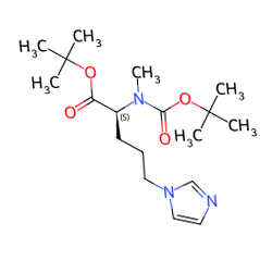 CN(C(=O)OC(C)(C)C)[C@@H](CCCn1ccnc1)C(=O)OC(C)(C)C